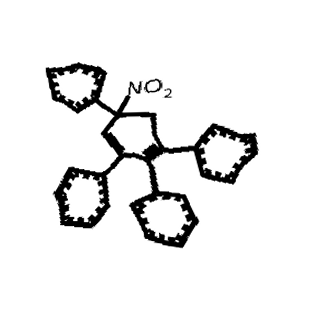 O=[N+]([O-])C1(c2ccccc2)C=C(c2ccccc2)C(c2ccccc2)=C(c2ccccc2)C1